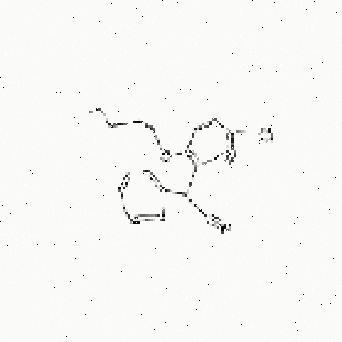 CCCCOc1ccc(Cl)nc1C(C#N)c1ccccc1